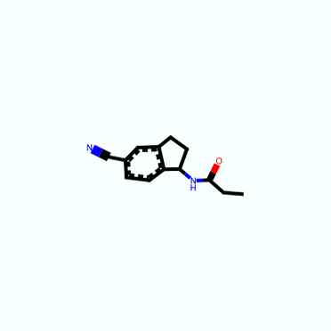 CCC(=O)NC1CCc2cc(C#N)ccc21